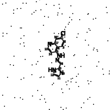 Clc1ccc2c(NN=Cc3ncc[nH]3)ccnc2c1